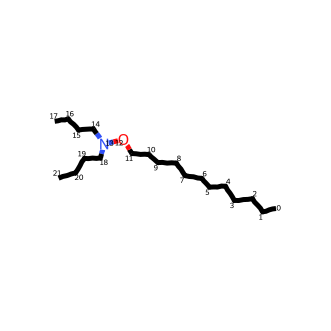 CCCCCCCCCCCCON(CCCC)CCCC